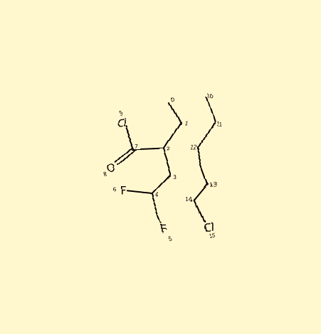 CCC(CC(F)F)C(=O)Cl.CCCCCCl